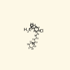 C[SiH](C)c1ccc(Cl)c(CCCCCN2CCCCC2)c1